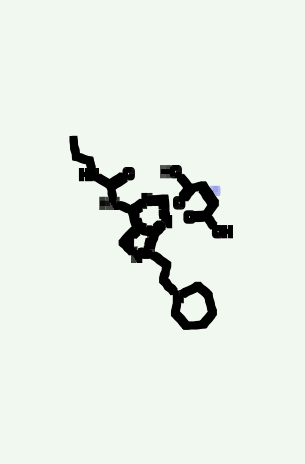 CCCNC(=O)Nc1ncnc2c1cnn2CCN1CCCCCC1.O=C(O)/C=C\C(=O)O